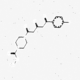 CC(C)(C)OC(=O)N1CCN(C(=O)CC(=O)CC(=O)c2ccc(F)cc2)CC1